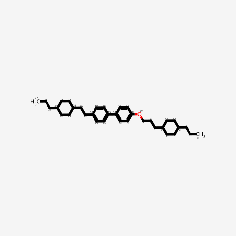 CCCC1CCC(CCCOc2ccc(-c3ccc(CCC4CCC(CCC)CC4)cc3)cc2)CC1